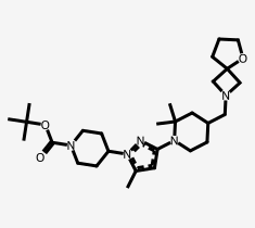 Cc1cc(N2CCC(CN3CC4(CCCO4)C3)CC2(C)C)nn1C1CCN(C(=O)OC(C)(C)C)CC1